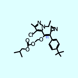 CCn1nc(C)c(Cl)c1/C(OCOC(=O)OCC(C)C)=C(/c1ccc(C(C)(C)C)cc1)C1C=N1